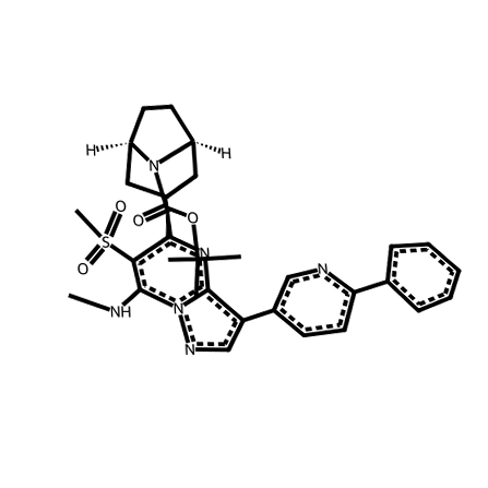 CNc1c(S(C)(=O)=O)c([C@H]2C[C@H]3CC[C@@H](C2)N3C(=O)OC(C)(C)C)nc2c(-c3ccc(-c4ccccc4)nc3)cnn12